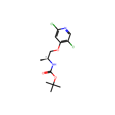 C[C@@H](COc1cc(Cl)ncc1Cl)NC(=O)OC(C)(C)C